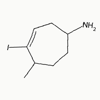 CC1CCC(N)CC=C1I